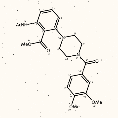 COC(=O)c1c(NC(C)=O)cccc1N1CCN(C(=O)c2ccc(OC)c(OC)c2)CC1